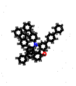 c1ccc(-c2ccc(-c3cc(N(c4ccc(-c5ccccc5)cc4)c4ccc5c(c4)C4(c6ccccc6-c6ccccc64)c4ccccc4-5)c4c(c3)oc3ccc5ccccc5c34)cc2)cc1